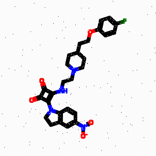 O=c1c(NCCN2CCC(CCOc3ccc(F)cc3)CC2)c(N2CCc3cc([N+](=O)[O-])ccc32)c1=O